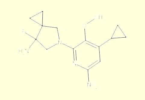 COc1c(C2CC2)cc(N)nc1N1CC(N)(F)C2(CC2)C1